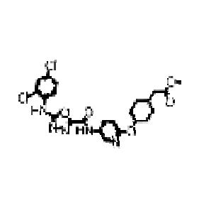 COC(=O)CC1CCC(Oc2ccc(NC(=O)c3nnc(Nc4ccc(Cl)cc4Cl)o3)cn2)CC1